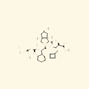 CC1C[C@H]2CN(C(=O)[C@@H](NC(=O)OC(C)(C)C)C3CCCCC3)[C@H](C(=O)N[C@H](CC3CCC3)C(=O)C(N)=O)[C@H]2C1